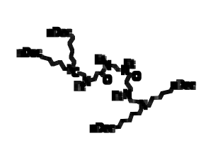 CCCCCCCCCCCCCCCN(CCCCCCCCCCCCCCC)CCN(CC)CCC(=O)N(CC)CCN(CC)C(=O)CCN(CC)CCN(CCCCCCCCCCCCCCC)CCCCCCCCCCCCCCC